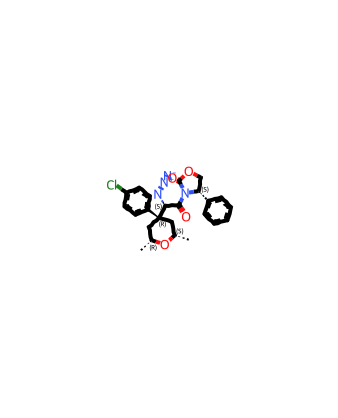 C[C@@H]1C[C@](c2ccc(Cl)cc2)([C@H](N=[N+]=[N-])C(=O)N2C(=O)OC[C@@H]2c2ccccc2)C[C@H](C)O1